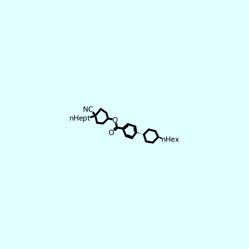 CCCCCCCC1(C#N)CCC(OC(=O)c2ccc([C@H]3CC[C@H](CCCCCC)CC3)cc2)CC1